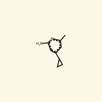 Cc1cc(C2CC2)cc(N)n1